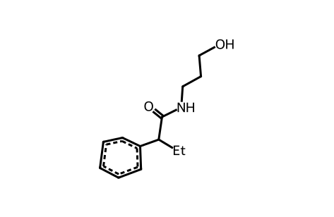 CCC(C(=O)NCCCO)c1ccccc1